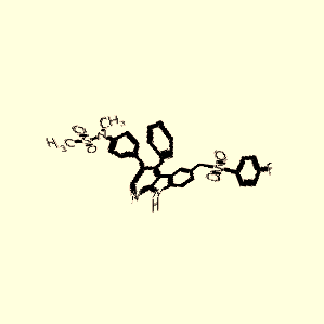 CN(c1ccc(-c2cnc3[nH]c4ccc(CS(=O)(=O)c5ccc(F)cc5)cc4c3c2-c2ccccc2)cc1)S(C)(=O)=O